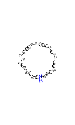 C1CCCCCCCCCCCCCNCCCCCCCCCCCCC1